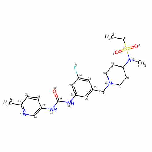 CCS(=O)(=O)N(C)C1CCN(Cc2cc(F)cc(NC(=O)Nc3ccc(C)nc3)c2)CC1